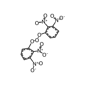 O=[N+]([O-])c1cccc(OOOc2cccc([N+](=O)[O-])c2[N+](=O)[O-])c1[N+](=O)[O-]